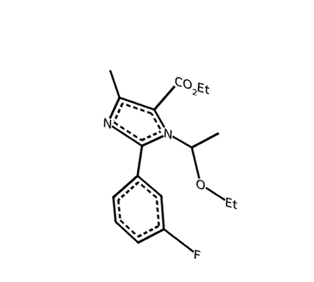 CCOC(=O)c1c(C)nc(-c2cccc(F)c2)n1C(C)OCC